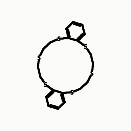 c1ccc2c(c1)SCCSCCSc1ccccc1SCCSCCS2